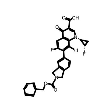 O=C(O)c1cn([C@@H]2C[C@@H]2F)c2c(Cl)c(-c3ccc4c(c3)CN(C(=O)OCc3ccccc3)C4)c(F)cc2c1=O